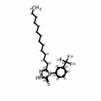 CCCCCCCCCCCCCc1n[nH]c(=S)n1-c1cccc(C(F)(F)F)c1